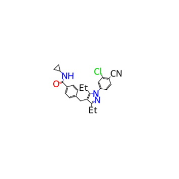 CCc1nn(-c2ccc(C#N)c(Cl)c2)c(CC)c1Cc1ccc(C(=O)NC2CC2)cc1